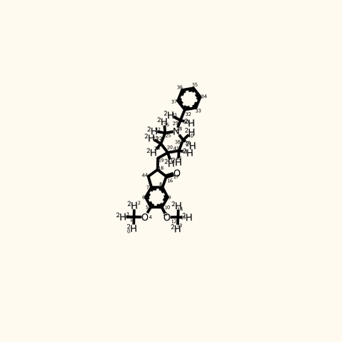 [2H]C([2H])([2H])Oc1cc2c(cc1OC([2H])([2H])[2H])C(=O)C(CC1([2H])C([2H])([2H])C([2H])([2H])N(C([2H])([2H])c3ccccc3)C([2H])([2H])C1([2H])[2H])C2